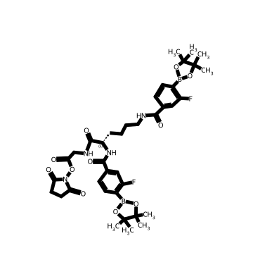 CC1(C)OB(c2ccc(C(=O)NCCCC[C@H](NC(=O)c3ccc(B4OC(C)(C)C(C)(C)O4)c(F)c3)C(=O)NCC(=O)ON3C(=O)CCC3=O)cc2F)OC1(C)C